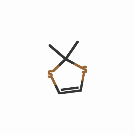 CC1(C)SC=CS1